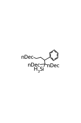 CCCCCCCCCCCCC(c1ccccc1)C([SiH3])(CCCCCCCCCC)CCCCCCCCCC